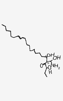 CCCCCCCCCCCCCCC[C@@H](O)[C@H](C(=O)C(O)CC)C(N)O